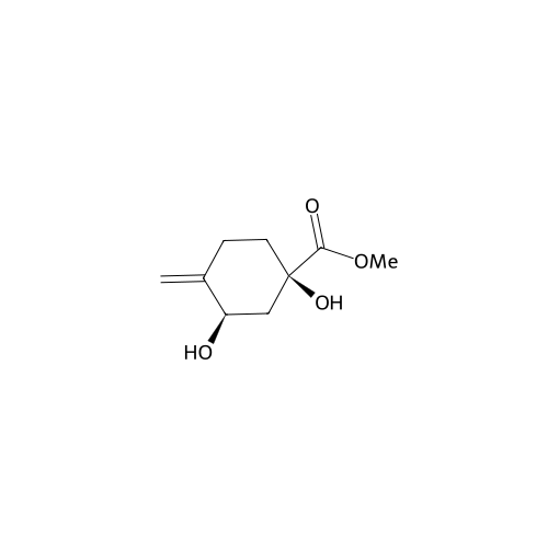 C=C1CC[C@](O)(C(=O)OC)C[C@H]1O